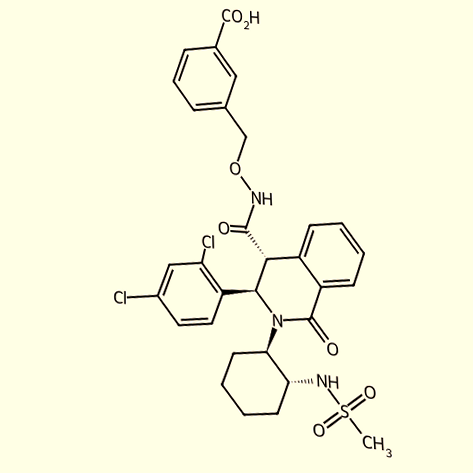 CS(=O)(=O)N[C@@H]1CCCC[C@H]1N1C(=O)c2ccccc2[C@@H](C(=O)NOCc2cccc(C(=O)O)c2)[C@@H]1c1ccc(Cl)cc1Cl